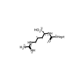 CCCCCCCC(=O)N[C@@H](CCCNC(=N)N)C(=O)O